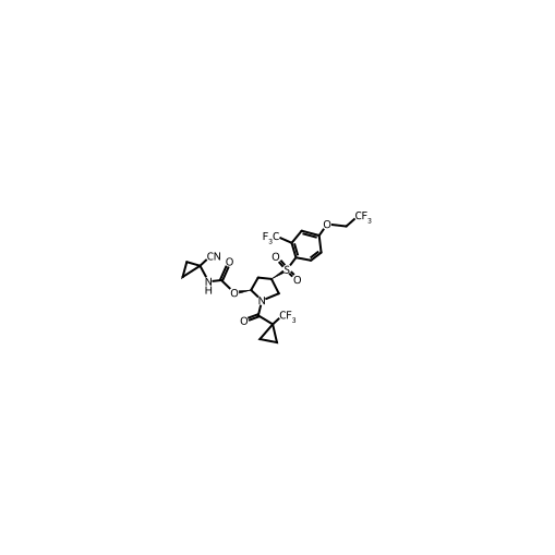 N#CC1(NC(=O)O[C@H]2C[C@@H](S(=O)(=O)c3ccc(OCC(F)(F)F)cc3C(F)(F)F)CN2C(=O)C2(C(F)(F)F)CC2)CC1